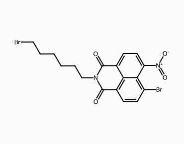 O=C1c2ccc(Br)c3c([N+](=O)[O-])ccc(c23)C(=O)N1CCCCCCBr